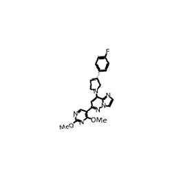 COc1ncc(-c2cc(N3CC[C@H](c4ccc(F)cc4)C3)c3nccn3n2)c(OC)n1